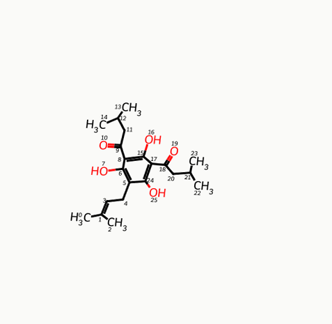 CC(C)=CCc1c(O)c(C(=O)CC(C)C)c(O)c(C(=O)CC(C)C)c1O